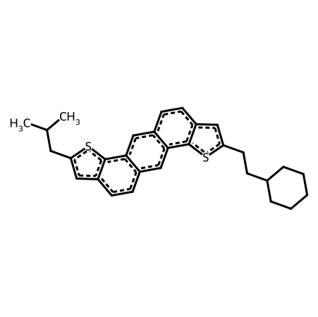 CC(C)Cc1cc2ccc3cc4c(ccc5cc(CCC6CCCCC6)sc54)cc3c2s1